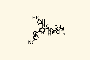 CC(C)(O)C(F)CNC(=O)c1cnc(-c2ccc3cc(C#N)cnn23)cc1N[C@H]1CC[C@H](O)C1